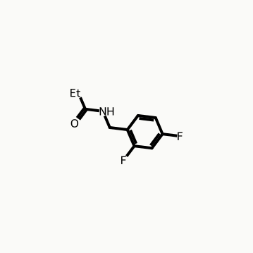 CCC(=O)NCc1ccc(F)cc1F